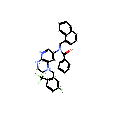 O=C(c1ccccc1)N(Cc1cccc2ccccc12)c1cnc2c(c1)N(Cc1cc(Cl)ccc1C(F)(F)F)CCN2